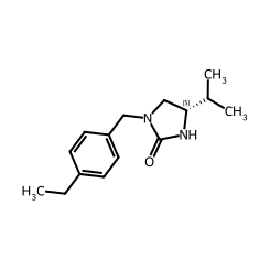 CCc1ccc(CN2C[C@H](C(C)C)NC2=O)cc1